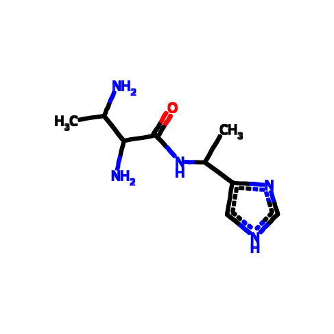 CC(NC(=O)C(N)C(C)N)c1c[nH]cn1